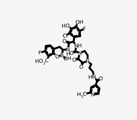 Cc1cc(C(=O)NCCCN2CCN(C(=O)NC(C(=O)NC3Cc4ccc(F)c(C(=O)O)c4OB3O)c3cc(F)c(O)c(O)c3Cl)C(=O)C2=O)ccn1